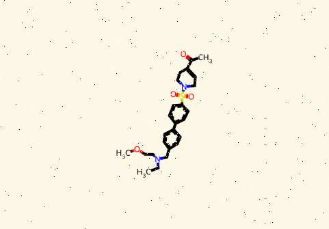 CCN(CCOC)Cc1ccc(-c2ccc(S(=O)(=O)N3CC=C(C(C)=O)CC3)cc2)cc1